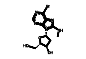 CNc1nc2c(Br)ncnc2n1[C@@H]1C[C@@H](O)[C@H](CO)O1